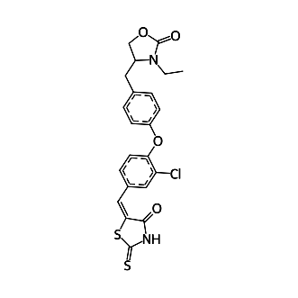 CCN1C(=O)OCC1Cc1ccc(Oc2ccc(/C=C3/SC(=S)NC3=O)cc2Cl)cc1